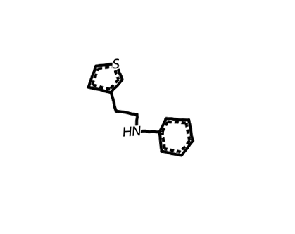 c1ccc(NCCc2ccsc2)cc1